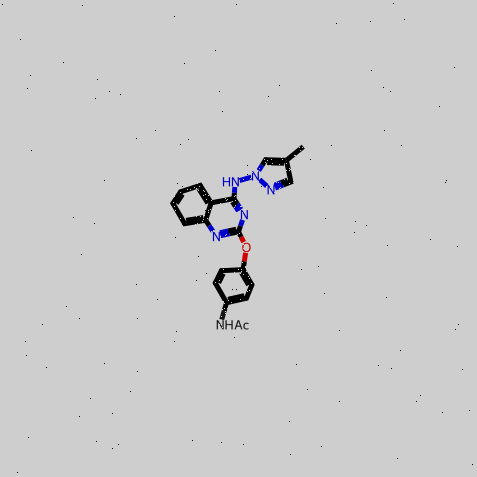 CC(=O)Nc1ccc(Oc2nc(Nn3cc(C)cn3)c3ccccc3n2)cc1